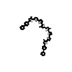 Cc1cc(-c2ccc(-c3ccccc3)cc2)sc1-c1ccc(-c2ccc(-c3sc(-c4cc(C)c(-c5ccc(-c6ccc(-c7sc(-c8ccc(-c9ccccc9)cc8)cc7C)s6)s5)s4)cc3C)s2)s1